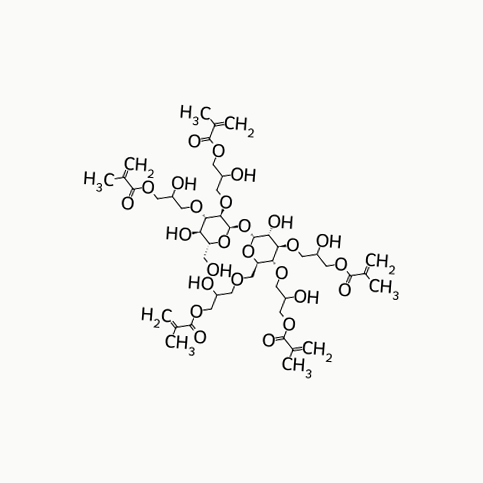 C=C(C)C(=O)OCC(O)COC[C@H]1O[C@H](O[C@H]2O[C@H](CO)[C@@H](O)[C@H](OCC(O)COC(=O)C(=C)C)[C@H]2OCC(O)COC(=O)C(=C)C)[C@H](O)[C@@H](OCC(O)COC(=O)C(=C)C)[C@@H]1OCC(O)COC(=O)C(=C)C